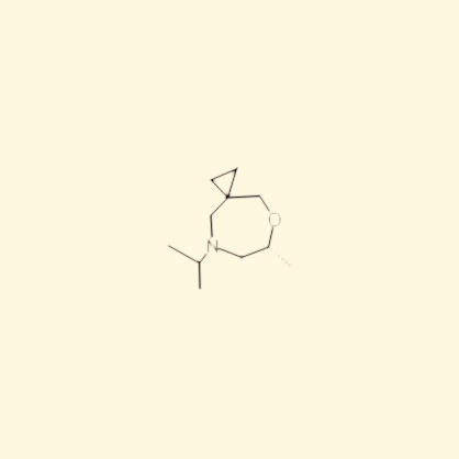 CC(C)N1C[C@@H](C)OCC2(CC2)C1